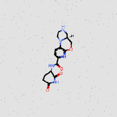 O=C1CC[C@H](NC(=O)c2ccc3c(n2)OC[C@@H]2CNCCN32)C(=O)N1